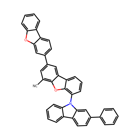 N#Cc1cc(-c2ccc3c(c2)oc2ccccc23)cc2c1oc1c(-n3c4ccccc4c4ccc(-c5ccccc5)cc43)cccc12